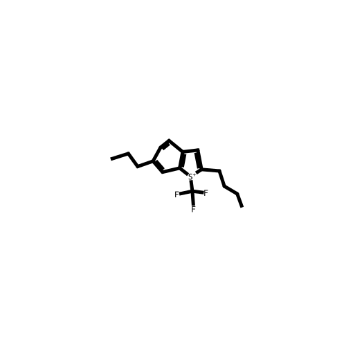 CCCCc1cc2ccc(CCC)cc2[s+]1C(F)(F)F